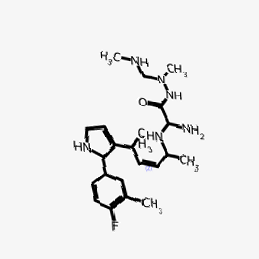 CNCN(C)NC(=O)C(N)NC(C)/C=C\C(C)C1=CCNC1C1C=CC(F)=C(C)C1